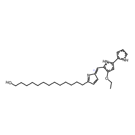 CCOc1cc(-c2ccc[nH]2)[nH]c1/C=C1\C=CC(CCCCCCCCCCCCCO)=N1